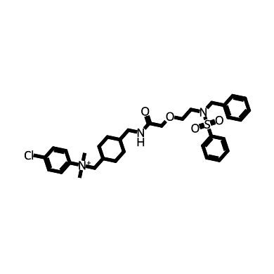 C[N+](C)(CC1CCC(CNC(=O)COCCN(Cc2ccccc2)S(=O)(=O)c2ccccc2)CC1)c1ccc(Cl)cc1